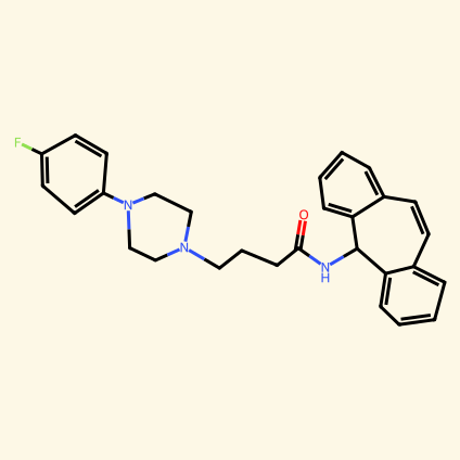 O=C(CCCN1CCN(c2ccc(F)cc2)CC1)NC1c2ccccc2C=Cc2ccccc21